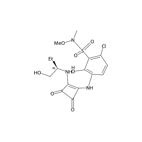 CC[C@H](CO)Nc1c(Nc2ccc(Cl)c(S(=O)(=O)N(C)OC)c2O)c(=O)c1=O